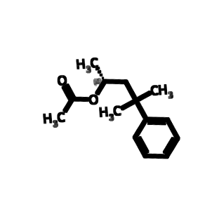 CC(=O)O[C@H](C)CC(C)(C)c1ccccc1